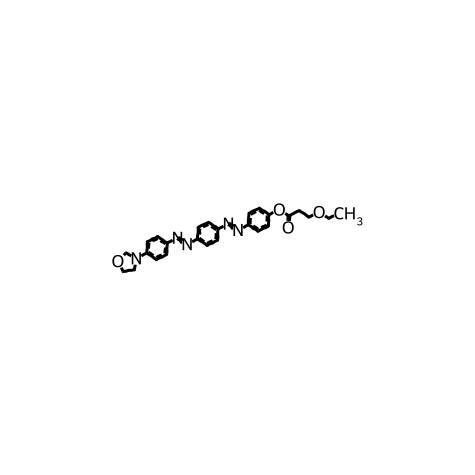 CCOCCC(=O)Oc1ccc(N=Nc2ccc(N=Nc3ccc(N4CCOC4)cc3)cc2)cc1